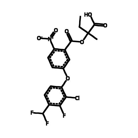 CCC(C)(OC(=O)c1cc(Oc2ccc(C(F)F)c(F)c2Cl)ccc1[N+](=O)[O-])C(=O)O